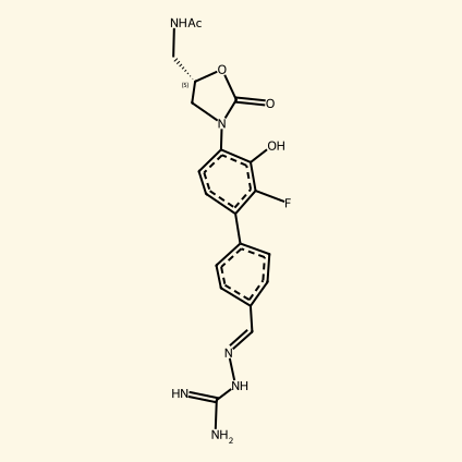 CC(=O)NC[C@H]1CN(c2ccc(-c3ccc(C=NNC(=N)N)cc3)c(F)c2O)C(=O)O1